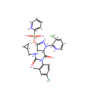 Cc1cc(Cl)ccc1N(C(=O)NCC1CC1)C(=O)C1CC(OS(=O)(=O)c2ccccn2)=NN1c1ncccc1Cl